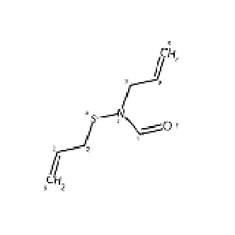 C=CCSN([C]=O)CC=C